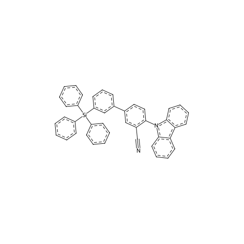 N#Cc1cc(-c2cccc([Si](c3ccccc3)(c3ccccc3)c3ccccc3)c2)ccc1-n1c2ccccc2c2ccccc21